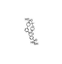 CC(C)(C)C1CC(c2cccc(N(Cc3ccc(C(=O)NO)cc3)C(=O)N3CCOCC3)c2)CCN1C(=O)O